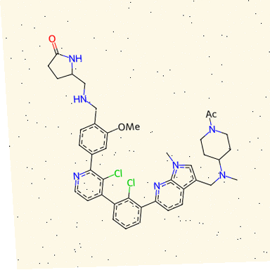 COc1cc(-c2nccc(-c3cccc(-c4ccc5c(CN(C)C6CCN(C(C)=O)CC6)cn(C)c5n4)c3Cl)c2Cl)ccc1CNCC1CCC(=O)N1